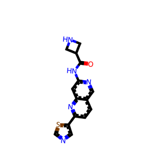 O=C(Nc1cc2nc(-c3cncs3)ccc2cn1)C1CNC1